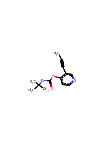 CC#Cc1cnccc1OC(=O)NC(C)(C)C